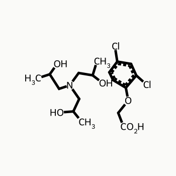 CC(O)CN(CC(C)O)CC(C)O.O=C(O)COc1ccc(Cl)cc1Cl